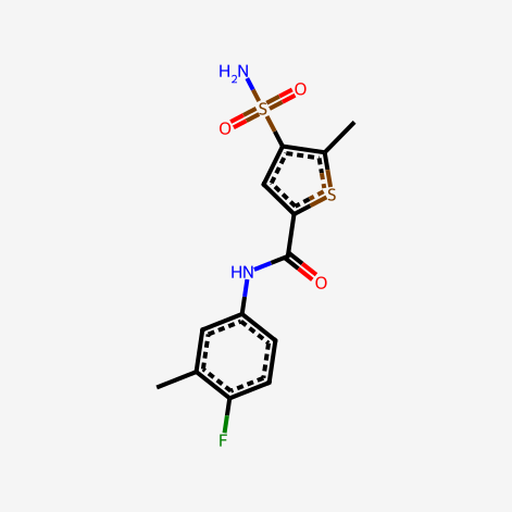 Cc1cc(NC(=O)c2cc(S(N)(=O)=O)c(C)s2)ccc1F